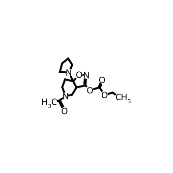 CCOC(=O)OC1=NOC2(N3CCCC3)CCN(C(C)=O)CC12